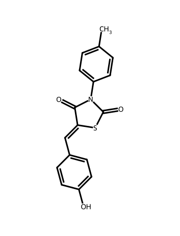 Cc1ccc(N2C(=O)S/C(=C\c3ccc(O)cc3)C2=O)cc1